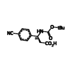 CC(C)(C)OC(=O)N[C@@H](CC(=O)O)c1ccc(C#N)cc1